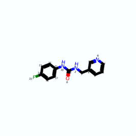 O=C(NCc1cccnc1)Nc1ccc(F)cc1